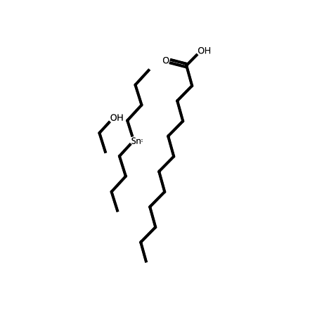 CCCCCCCCCCCC(=O)O.CCC[CH2][Sn][CH2]CCC.CCO